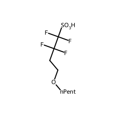 CCCCCOCCC(F)(F)C(F)(F)S(=O)(=O)O